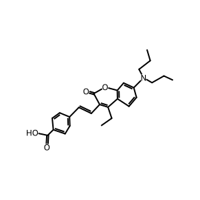 CCCN(CCC)c1ccc2c(CC)c(/C=C/c3ccc(C(=O)O)cc3)c(=O)oc2c1